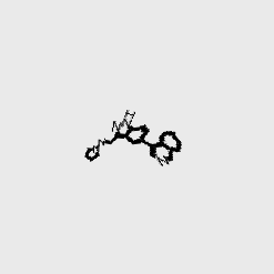 C(=Nn1cccc1)c1n[nH]c2ccc(-c3cncc4ccccc34)cc12